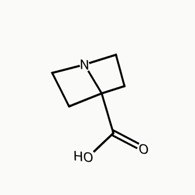 O=C(O)C12CCN1CC2